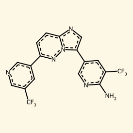 Nc1ncc(-c2cnc3ccc(-c4cncc(C(F)(F)F)c4)nn23)cc1C(F)(F)F